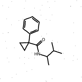 CC(C)C(C)NC(=O)C1(c2ccccc2)CC1